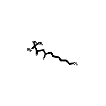 CCCCCCCC(I)CC(=O)C(C)(C)C